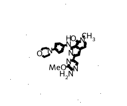 COc1nc(-c2cc3ccn(C)c(=O)c3c(Nc3ccc(N4CCOCC4)cc3)n2)cnc1N